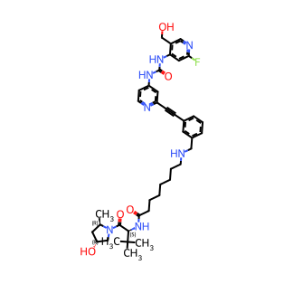 C[C@@H]1C[C@@H](O)CN1C(=O)[C@@H](NC(=O)CCCCCCCNCc1cccc(C#Cc2cc(NC(=O)Nc3cc(F)ncc3CO)ccn2)c1)C(C)(C)C